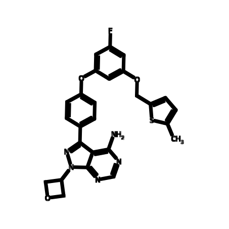 Cc1ccc(COc2cc(F)cc(Oc3ccc(-c4nn(C5COC5)c5ncnc(N)c45)cc3)c2)s1